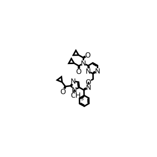 Cn1c(C(=NOCc2nccc(N(C(=O)C3CC3)C(=O)C3CC3)n2)c2ccccc2)cnc1C(=O)C1CC1